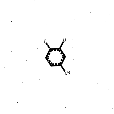 [Li][c]1cc(C#N)ccc1F